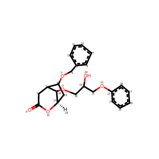 O=C1CC2C(OCc3ccccc3)C[C@@H](O1)C2OCC(O)COc1ccccc1